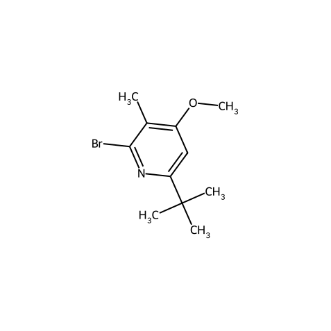 COc1cc(C(C)(C)C)nc(Br)c1C